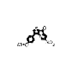 COc1ccc(-c2csc3c2-n2cc([N+](=O)[O-])cc2C3=O)cc1